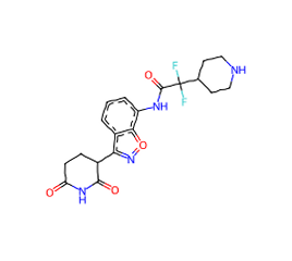 O=C1CCC(c2noc3c(NC(=O)C(F)(F)C4CCNCC4)cccc23)C(=O)N1